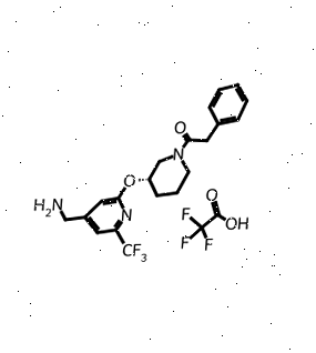 NCc1cc(O[C@H]2CCCN(C(=O)Cc3ccccc3)C2)nc(C(F)(F)F)c1.O=C(O)C(F)(F)F